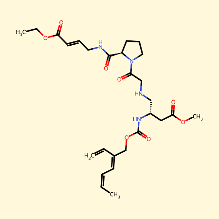 C=C/C(=C\C=C/C)COC(=O)N[C@H](CNCC(=O)N1CCC[C@@H]1C(=O)NC/C=C/C(=O)OCC)CC(=O)OC